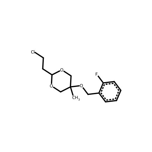 CC1(OCc2ccccc2F)COC(CCCl)OC1